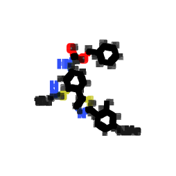 CNc1ccc(-c2ncc(-c3ccc(NC(=O)OCc4ccccc4)cc3SNC(C)(C)C)s2)c(C)c1